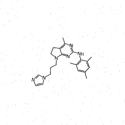 Cc1cc(C)c(Nc2nc(C)c3c(n2)N(CCCn2ccnc2)CC3)c(C)c1